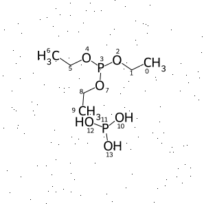 CCOP(OCC)OCC.OP(O)O